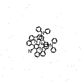 N#Cc1c(-c2ccccc2)c(-n2c3ccccc3c3ccccc32)c(-n2c3ccc(N(c4ccccc4)c4ccccc4)cc3c3cc(N(c4ccccc4)c4ccccc4)ccc32)c(-n2c3ccccc3c3ccccc32)c1-c1ccccc1